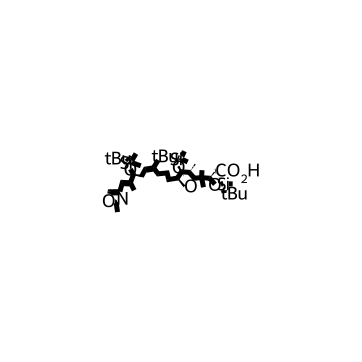 C/C(=C/C[C@H](O[Si](C)(C)C(C)(C)C)/C(C)=C/c1coc(C)n1)CCC[C@H](C)[C@@H](O[Si](C)(C)C(C)(C)C)[C@H](C)C(=O)C(C)(C)[C@H](CC(=O)O)O[Si](C)(C)C(C)(C)C